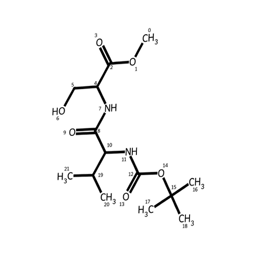 COC(=O)C(CO)NC(=O)C(NC(=O)OC(C)(C)C)C(C)C